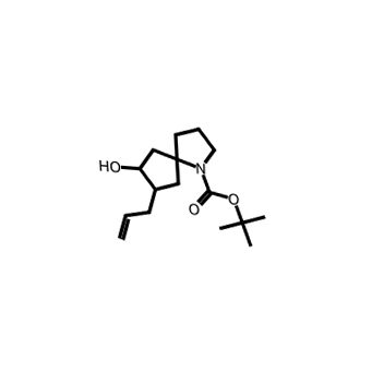 C=CCC1CC2(CCCN2C(=O)OC(C)(C)C)CC1O